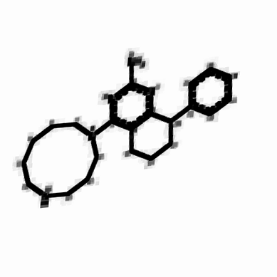 Nc1nc2c(c(N3CCCCCNCCC3)n1)CCCC2c1ccccc1